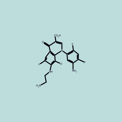 NCCNc1c(F)cc2c(=O)c(C(=O)O)cn(-c3cc(N)c(F)cc3F)c2c1Cl